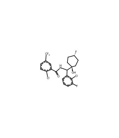 O=C(NC(c1cccc(F)c1Cl)[C@]1(O)CC[C@H](F)CC1)c1cc(C(F)(F)F)ccc1Cl